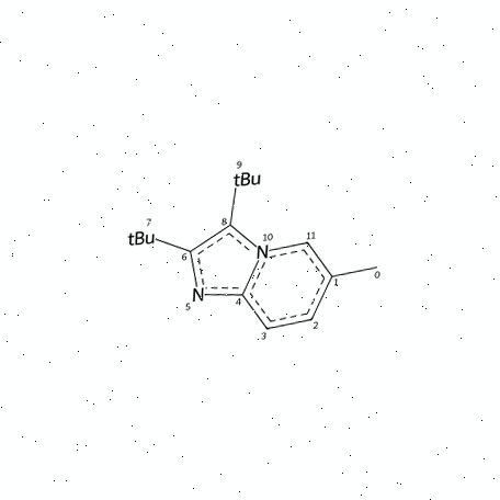 Cc1ccc2nc(C(C)(C)C)c(C(C)(C)C)n2c1